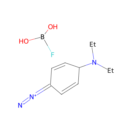 CCN(CC)C1C=CC(=[N+]=[N-])C=C1.OB(O)F